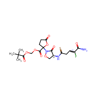 CC(C)(C)C(=O)OCOC(=O)C1(N2OC[C@H](NC(=S)C/C=C(\F)C(N)=O)C2=O)CCC(=O)O1